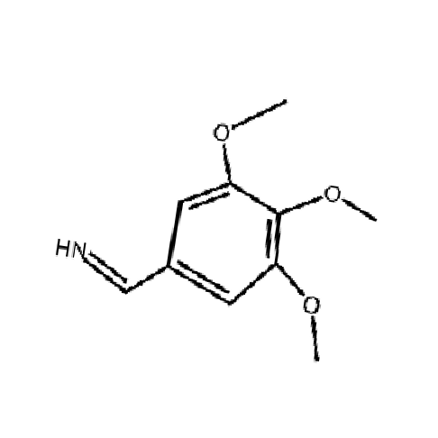 COc1cc(C=N)cc(OC)c1OC